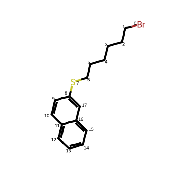 BrCCCCCCSc1ccc2ccccc2c1